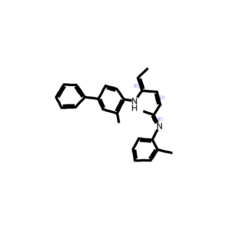 C\C=C(/C=C\C(C)=N\c1ccccc1C)Nc1ccc(-c2ccccc2)cc1C